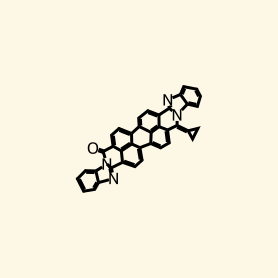 O=c1c2ccc3c4ccc5c6c(ccc(c7ccc(c2c73)c2nc3ccccc3n12)c46)c(=C1CC1)n1c2ccccc2nc51